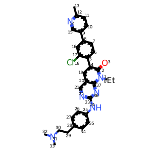 CCn1c(=O)c(-c2ccc(-c3ccc(C)nc3)cc2Cl)cc2cnc(Nc3ccc(CCN(C)C)cc3)nc21